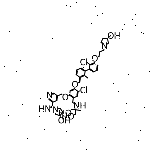 Cc1c(COc2cc(OCc3cncc(C(=N)N4CC[C@@H](O)C4)c3)c(CNC(C)(CO)CO)cc2Cl)cccc1-c1cccc(OCCCN2CC[C@@H](O)C2)c1Cl